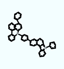 c1ccc(-c2ccc(N(c3ccc(-c4ccc5c(ccc6c5c5ccccc5n6-c5ccccc5)c4)cc3)c3ccccc3-c3ccccc3)cc2)cc1